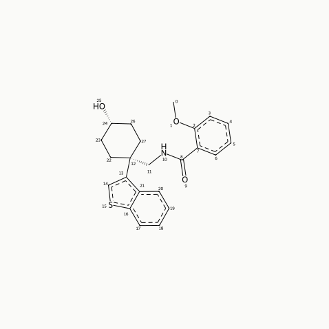 COc1ccccc1C(=O)NC[C@]1(c2csc3ccccc32)CC[C@H](O)CC1